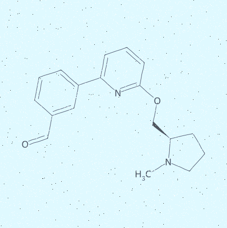 CN1CCC[C@@H]1COc1cccc(-c2cccc(C=O)c2)n1